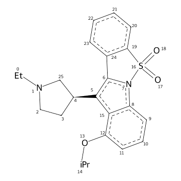 CCN1CC[C@H](c2c3n(c4cccc(OC(C)C)c24)S(=O)(=O)c2ccccc2-3)C1